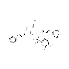 CON=C[C@@H](F)[C@H](OC(=O)C=Cc1ccccc1)[C@@H](COC(=O)C=Cc1ccccc1)OS(=O)(=O)c1cc(Cl)c(Cl)cc1Cl